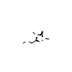 COCc1nn(C)c(=O)n1C